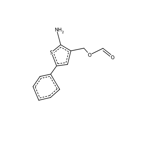 Nc1sc(-c2ccccc2)cc1COC=O